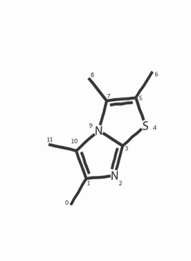 Cc1nc2sc(C)c(C)n2c1C